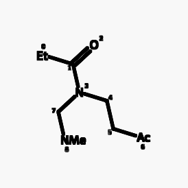 CCC(=O)N(CCC(C)=O)CNC